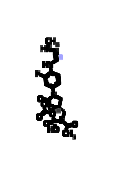 CN/N=C\Nc1ccc(N2C[C@H](CN(C(C)=O)P(=O)(O)OC(C)=O)OC2=O)cc1F